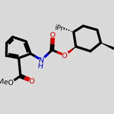 COC(=O)c1ccccc1NC(=O)O[C@@H]1C[C@H](C)CC[C@H]1C(C)C